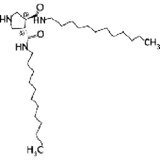 CCCCCCCCCCCCNC(=O)[C@@H]1CNC[C@H]1C(=O)NCCCCCCCCCCCC